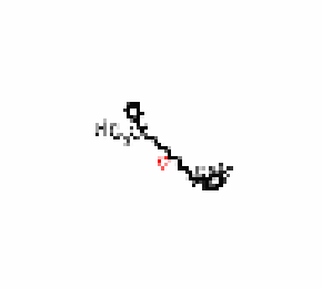 COC(C)(CCCCC(=O)CCCCC(C)(C(=O)O)c1ccccc1)c1ccccc1